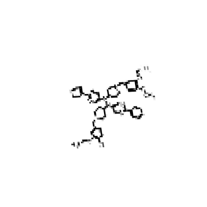 CCOc1cc(CN2CCC(N(c3cnc(-c4ccccc4)nc3)N(c3cnc(-c4ccccc4)nc3)C3CCN(Cc4ccc(OC)c(OCC)c4)CC3)CC2)ccc1Cl